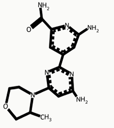 CC1COCCN1c1cc(N)nc(-c2cc(N)nc(C(N)=O)c2)n1